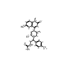 CC[C@@H]1CN(c2nc(=O)n(C)c3ccc(C#N)nc23)[C@@H](C)CN1C(CNC(=O)C(C)C)c1ccc(C(F)(F)F)cc1